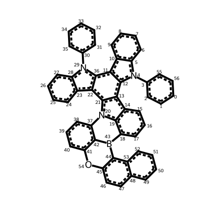 c1ccc(-n2c3ccccc3c3c2c2c4cccc5c4n(c2c2c4ccccc4n(-c4ccccc4)c32)-c2cccc3c2B5c2c(ccc4ccccc24)O3)cc1